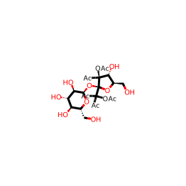 CC(=O)OC(C(C)=O)(C(C)=O)[C@@]1(O[C@H]2O[C@H](CO)[C@@H](O)[C@H](O)[C@H]2O)O[C@H](CO)[C@@H](O)[C@@]1(OC(C)=O)C(C)=O